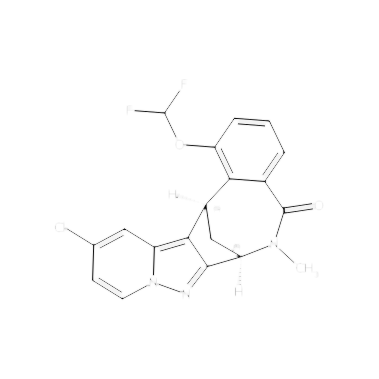 CN1C(=O)c2cccc(OC(F)F)c2[C@H]2C[C@@H]1c1nn3ccc(Cl)cc3c12